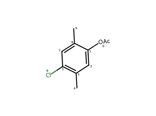 CC(=O)Oc1cc(C)c(Cl)cc1C